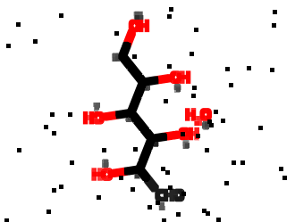 O.O=CC(O)C(O)C(O)C(O)CO